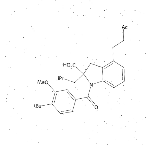 COc1cc(C(=O)N2c3cccc(CCC(C)=O)c3CC2(CC(C)C)C(=O)O)ccc1C(C)(C)C